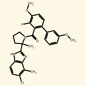 COc1cccc(-c2ccc(OC)c(F)c2C(=O)N2CCCC2(C)c2nc3c(C)c(Cl)ccc3[nH]2)c1